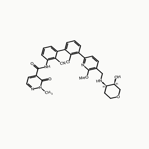 COc1nc(-c2cccc(-c3cccc(NC(=O)c4ccnn(C)c4=O)c3C#N)c2Cl)ccc1CN[C@@H]1CCOC[C@@H]1O